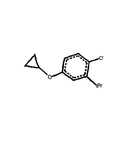 CC(C)c1cc(OC2CC2)ccc1Cl